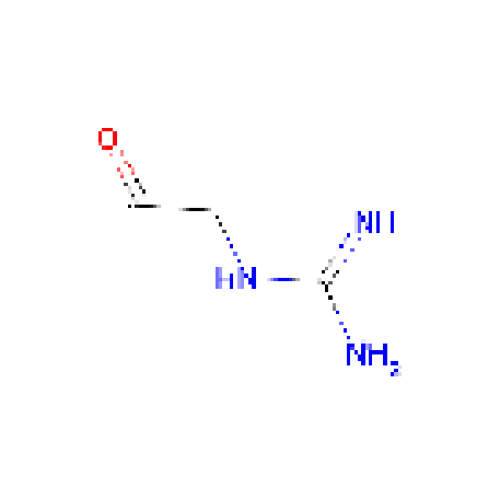 N=C(N)NC[C]=O